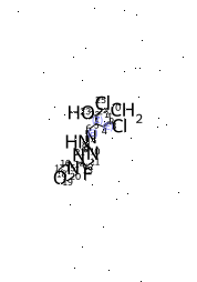 C=C\C(Cl)=C/C(/C=N/Nc1ncc(F)c(N2CCOCC2)n1)=C(/O)CCl